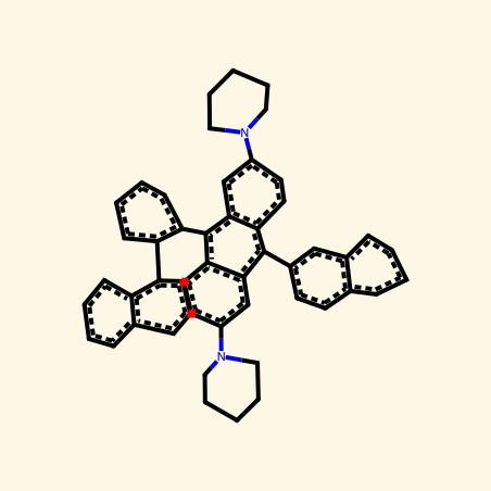 c1ccc(-c2c3ccc(N4CCCCC4)cc3c(-c3ccc4ccccc4c3)c3ccc(N4CCCCC4)cc23)c(-c2cccc3ccccc23)c1